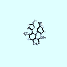 CCc1nnc(C2=C(C)NC(C)=C(C(=O)OCC(C)C)C2c2cccc([N+](=O)[O-])c2)o1